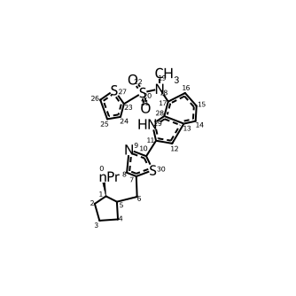 CCC[C@@H]1CCCC1Cc1cnc(-c2cc3cccc(N(C)S(=O)(=O)c4cccs4)c3[nH]2)s1